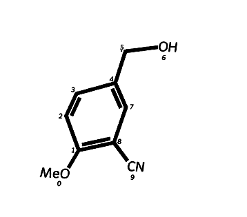 COc1ccc([CH]O)cc1C#N